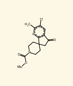 Cc1nc2c(cc1Cl)C(=O)CC21CCN(C(=O)OC(C)(C)C)CC1